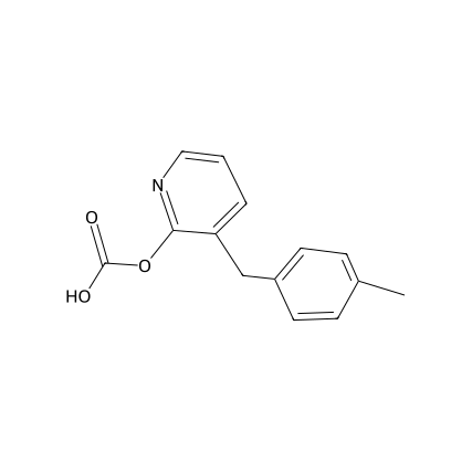 Cc1ccc(Cc2cccnc2OC(=O)O)cc1